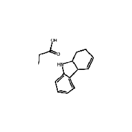 C1=CC2c3ccccc3NC2CC1.CCC(=O)O